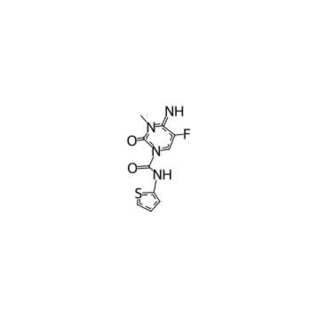 Cn1c(=N)c(F)cn(C(=O)Nc2cccs2)c1=O